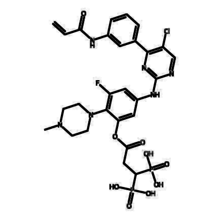 C=CC(=O)Nc1cccc(-c2nc(Nc3cc(F)c(N4CCN(C)CC4)c(OC(=O)CC(P(=O)(O)O)P(=O)(O)O)c3)ncc2Cl)c1